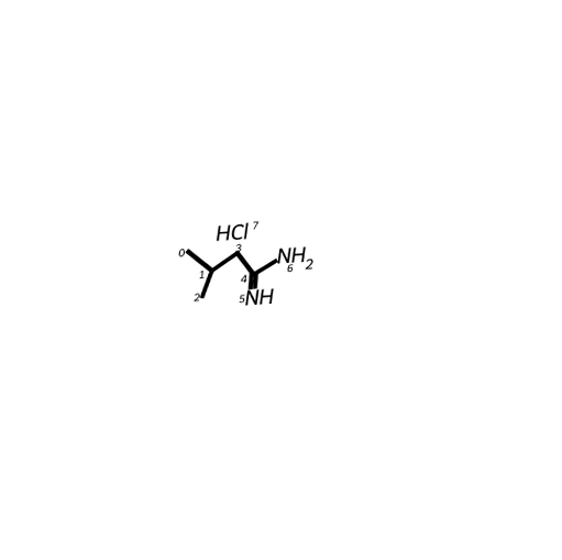 CC(C)CC(=N)N.Cl